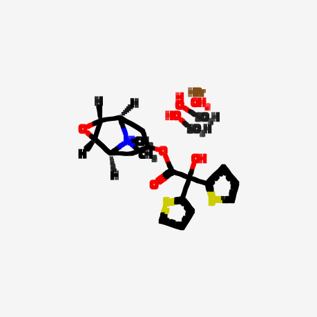 Br.C[N+]1(C)[C@@H]2CC(OC(=O)C(O)(c3cccs3)c3cccs3)C[C@H]1[C@@H]1O[C@@H]12.O.O=S(=O)(O)O.O=S(=O)(O)O